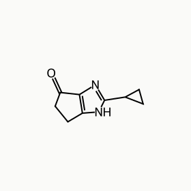 O=C1CCc2[nH]c(C3CC3)nc21